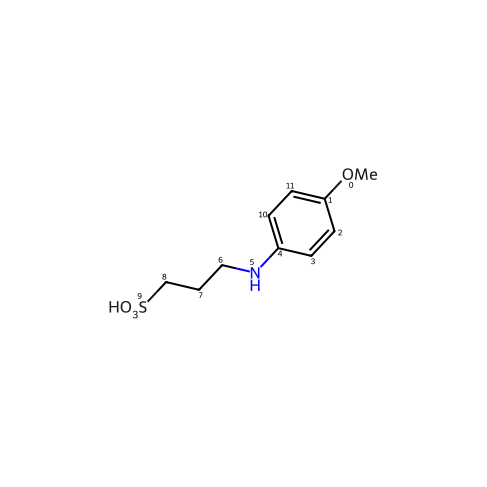 COc1ccc(NCCCS(=O)(=O)O)cc1